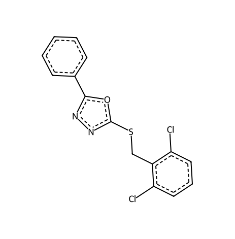 Clc1cccc(Cl)c1CSc1nnc(-c2ccccc2)o1